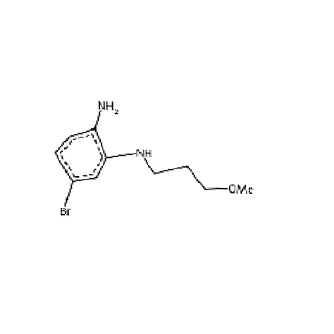 COCCCNc1cc(Br)ccc1N